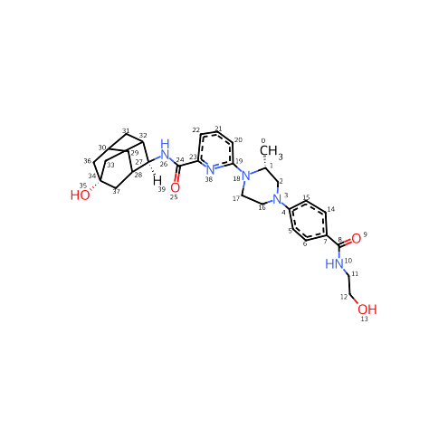 C[C@@H]1CN(c2ccc(C(=O)NCCO)cc2)CCN1c1cccc(C(=O)N[C@H]2C3CC4CC2C[C@](O)(C4)C3)n1